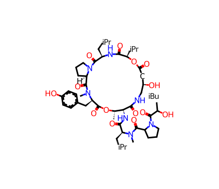 CC[C@H](C)C1NC(=O)[C@H](NC(=O)[C@H](CC(C)C)N(C)C(=O)C2CCCN2C(=O)C(C)O)[C@H](C)OC(=O)[C@@H](Cc2ccc(O)cc2)N(C)C(=O)[C@H]2CCCN2C(=O)[C@@H](CC(C)C)NC(=O)[C@@H](C(C)C)OC(=O)C[C@H]1O